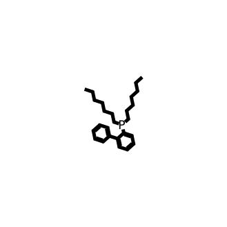 CCCCCCCP(CCCCCCC)c1ccccc1-c1ccccc1